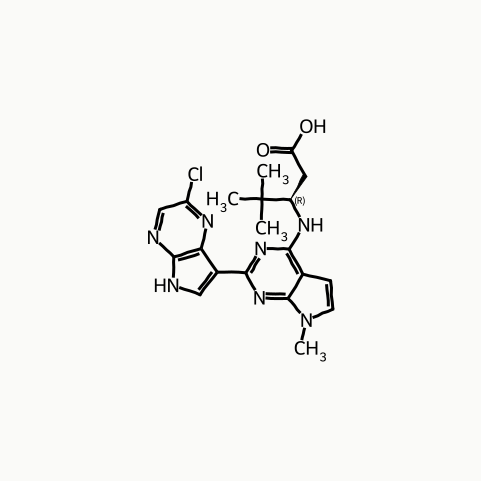 Cn1ccc2c(N[C@H](CC(=O)O)C(C)(C)C)nc(-c3c[nH]c4ncc(Cl)nc34)nc21